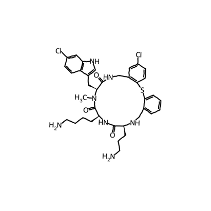 CN1C(=O)[C@H](CCCCN)NC(=O)[C@H](CCCN)NCc2ccccc2Sc2ccc(Cl)cc2CNC(=O)[C@@H]1Cc1c[nH]c2cc(Cl)ccc12